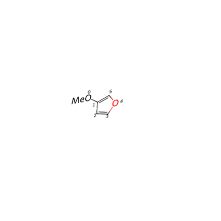 COc1ccoc1